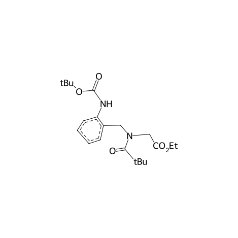 CCOC(=O)CN(Cc1ccccc1NC(=O)OC(C)(C)C)C(=O)C(C)(C)C